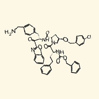 NCc1ccc(C[C@H](NC(=O)[C@@H]2C[C@@H](OCc3ccc(Cl)cc3)CN2C(=O)[C@@H](CCc2ccccc2)NC(=O)OCc2ccccc2)C(=O)c2nc3ccccc3o2)cc1